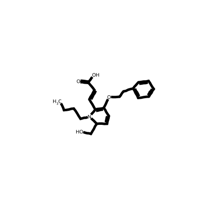 CCCCN1C(C=CC(=O)O)=C(OCCc2ccccc2)C=CC1CO